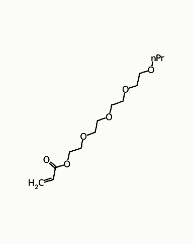 C=CC(=O)OCCOCCOCCOCCOCCC